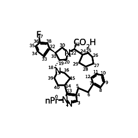 CCCn1ncc(CCc2ccccc2)c1C1CCN(C[C@H]2CN([C@@H](C(=O)O)C3CCCCC3)C[C@@H]2c2cccc(F)c2)CC1